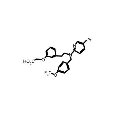 CC(C)c1ccc(N(CCc2cccc(OCC(=O)O)c2)Cc2ccc(OC(F)(F)F)cc2)nc1